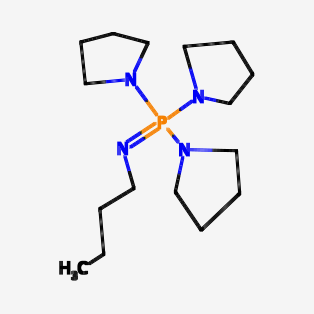 CCCCN=P(N1CCCC1)(N1CCCC1)N1CCCC1